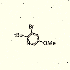 COc1cnc(C(C)(C)C)c(Br)c1